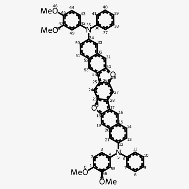 COc1ccc(N(c2ccccc2)c2ccc3cc4c(cc3c2)oc2cc3c(cc24)oc2cc4cc(N(c5ccccc5)c5ccc(OC)c(OC)c5)ccc4cc23)cc1OC